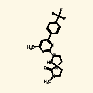 Cc1cc(-c2ccc(C(F)(F)F)cc2)nc([C@@H]2CC[C@@]3(CCN(C)C3=O)N2)n1